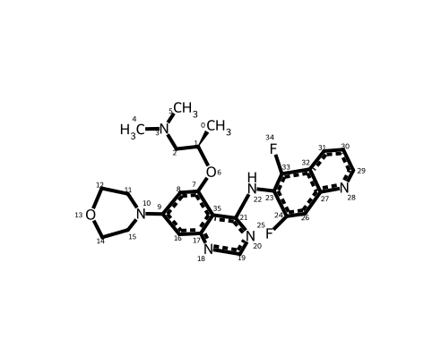 C[C@H](CN(C)C)Oc1cc(N2CCOCC2)cc2ncnc(Nc3c(F)cc4ncccc4c3F)c12